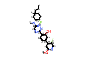 CCC[C@]1(C)CC[C@H](F)[C@H](N(C)c2cnc(-c3ccc(-c4cc(OC)ncc4F)cc3O)nn2)C1